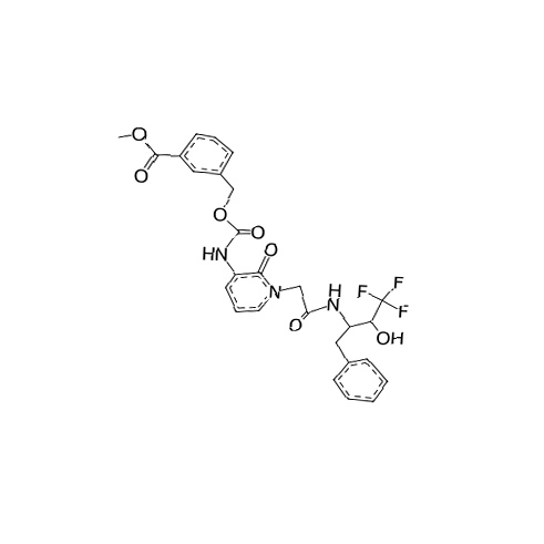 COC(=O)c1cccc(COC(=O)Nc2cccn(CC(=O)NC(Cc3ccccc3)C(O)C(F)(F)F)c2=O)c1